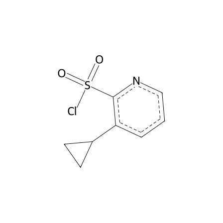 O=S(=O)(Cl)c1ncccc1C1CC1